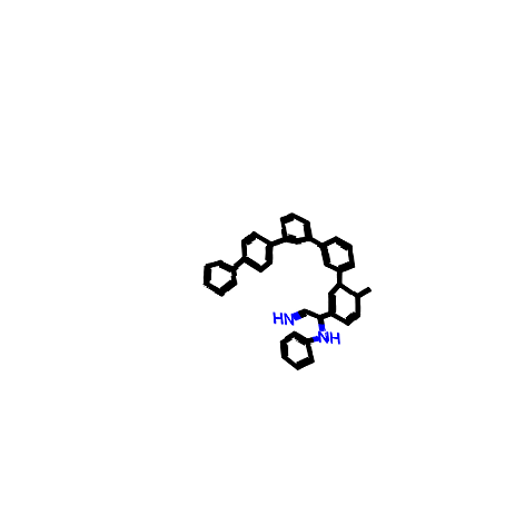 CC1C=CC(C(C=N)Nc2ccccc2)=CC1c1cccc(-c2cccc(-c3ccc(-c4ccccc4)cc3)c2)c1